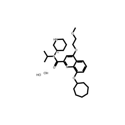 COCCOc1cc(C(=O)N(C(C)C)[C@@H]2CCCNC2)nc2c(OC3CCCCCC3)cccc12.Cl.Cl